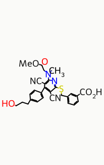 COC(=O)CN(C)c1nc(SCc2cccc(C(=O)O)c2)c(C#N)c(-c2ccc(CCCO)cc2)c1C#N